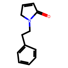 O=C1C=CCN1CCc1ccccc1